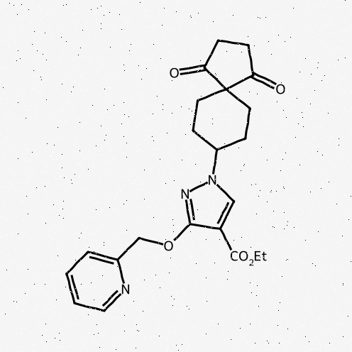 CCOC(=O)c1cn(C2CCC3(CC2)C(=O)CCC3=O)nc1OCc1ccccn1